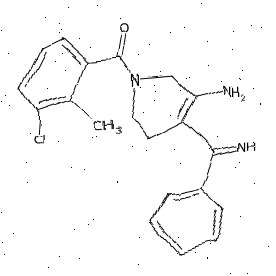 Cc1c(Cl)cccc1C(=O)N1CCC(C(=N)c2ccccc2)=C(N)C1